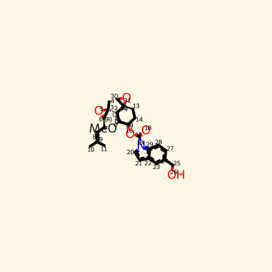 CO[C@H]1[C@H](C2(C)O[C@@H]2CC=C(C)C)[C@]2(CC[C@H]1OC(=O)n1ccc3cc(CO)ccc31)CO2